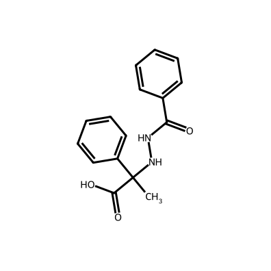 CC(NNC(=O)c1ccccc1)(C(=O)O)c1ccccc1